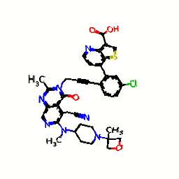 Cc1nc2cnc(N(C)C3CCN(C4(C)COC4)CC3)c(C#N)c2c(=O)n1CC#Cc1ccc(Cl)cc1-c1ccnc2c(C(=O)O)csc12